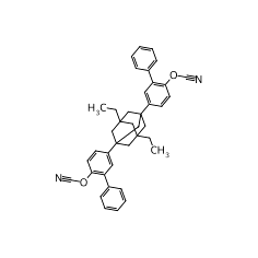 CCC12CC3(CC)CC(c4ccc(OC#N)c(-c5ccccc5)c4)(C1)CC(c1ccc(OC#N)c(-c4ccccc4)c1)(C2)C3